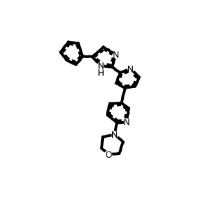 c1ccc(-c2cnc(-c3cc(-c4ccc(N5CCOCC5)nc4)ccn3)[nH]2)cc1